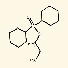 CC[C@@H](S)SP(=S)(C1CCCCC1)C1CCCCC1